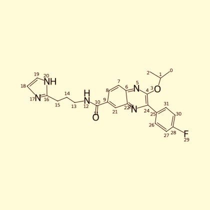 CC(C)Oc1nc2ccc(C(=O)NCCCc3ncc[nH]3)cc2nc1-c1ccc(F)cc1